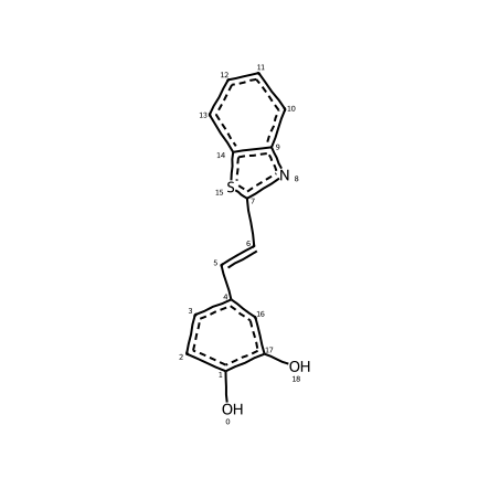 Oc1ccc(/C=C/c2nc3ccccc3s2)cc1O